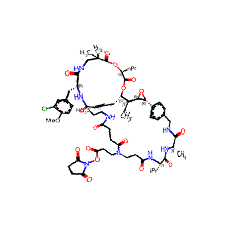 CCC[C@@H]1OC(=O)C(C)(C)CNC(=O)[C@@H](Cc2ccc(OC)c(Cl)c2)NC(=O)/C=C/C[C@@H]([C@H](C)[C@H]2O[C@@H]2c2ccc(CNC(=O)[C@H](C)NC(=O)[C@@H](NC(=O)CCN(CCC(=O)ON3C(=O)CCC3=O)C(=O)CCC(=O)NCCS(=O)(=O)O)C(C)C)cc2)OC1=O